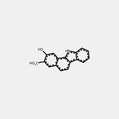 O=C(O)c1cc2ccc3c4ccccc4[nH]c3c2cc1O